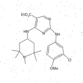 CCOC(=O)c1cnc(Nc2ccc(OC)c(Cl)c2)nc1NC1CC(C)(C)N(C)C(C)(C)C1